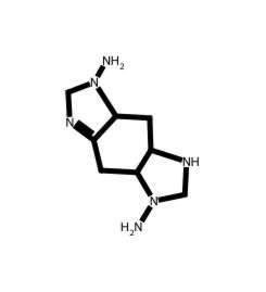 NN1CN=C2CC3C(CC21)NCN3N